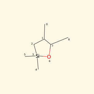 CC1C[Si](C)(C)OC1C